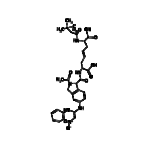 CC(=O)N1Cc2cc(N/C(=C/[N+](=O)[O-])Nc3ccccc3)ccc2C1C(=O)NC(C/C=C/CC(NC(=O)CC(C)(C)C)C(=O)O)C(=O)O